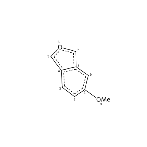 COc1ccc2cocc2c1